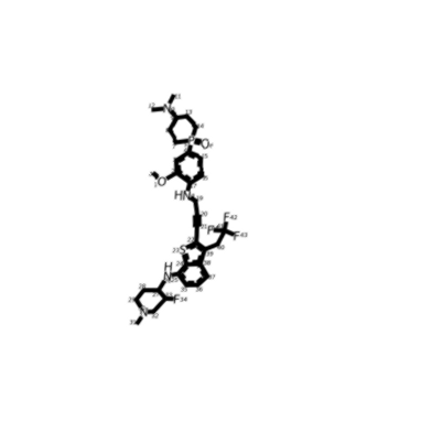 COc1cc(P2(=O)CCC(N(C)C)CC2)ccc1NCC#Cc1sc2c(NC3CCN(C)CC3F)cccc2c1CC(F)(F)F